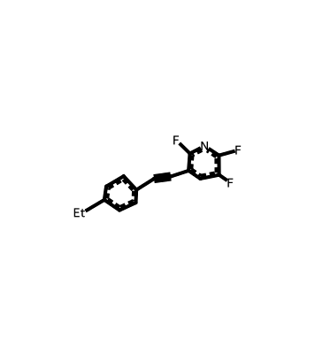 CCc1ccc(C#Cc2cc(F)c(F)nc2F)cc1